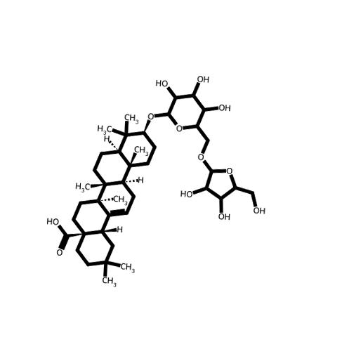 CC1(C)CC[C@]2(C(=O)O)CC[C@]3(C)C(=CC[C@@H]4[C@@]5(C)CC[C@H](OC6OC(COC7OC(CO)C(O)C7O)C(O)C(O)C6O)C(C)(C)[C@@H]5CC[C@]43C)[C@@H]2C1